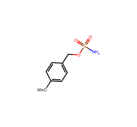 COc1ccc(COS(N)(=O)=O)cc1